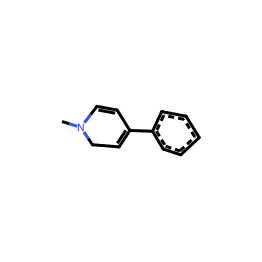 CN1C=CC(c2ccccc2)=CC1